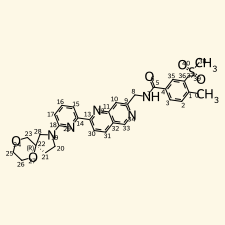 Cc1ccc(C(=O)NCc2cc3nc(-c4cccc(N5CC[C@]6(COCCO6)C5)n4)ccc3cn2)cc1S(C)(=O)=O